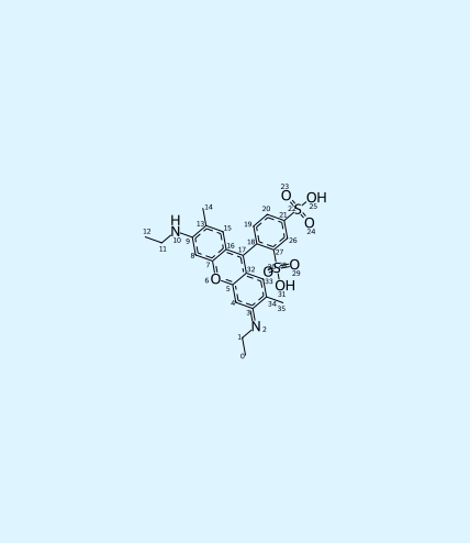 CC/N=c1\cc2oc3cc(NCC)c(C)cc3c(-c3ccc(S(=O)(=O)O)cc3S(=O)(=O)O)c-2cc1C